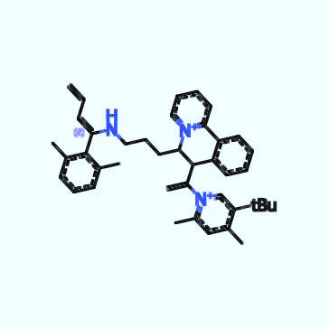 C=C/C=C(\NCCCC1C(C(=C)[n+]2cc(C(C)(C)C)c(C)cc2C)c2ccccc2-c2cccc[n+]21)c1c(C)cccc1C